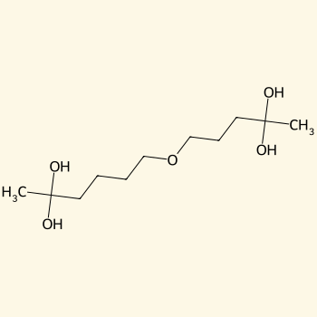 CC(O)(O)CCCCOCCCC(C)(O)O